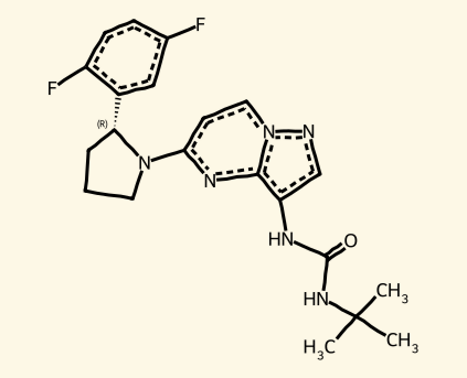 CC(C)(C)NC(=O)Nc1cnn2ccc(N3CCC[C@@H]3c3cc(F)ccc3F)nc12